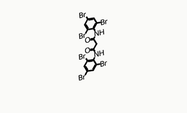 O=C(CC(=O)Nc1c(Br)cc(Br)cc1Br)Nc1c(Br)cc(Br)cc1Br